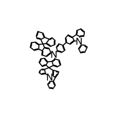 c1ccc(-n2c3ccccc3c3ccc(-c4ccc(N(c5ccc6c(c5)C5(c7ccccc7-c7ccccc75)c5ccccc5-6)c5cccc6c5-c5ccccc5C65c6ccccc6-n6c7ccccc7c7cccc5c76)cc4)cc32)cc1